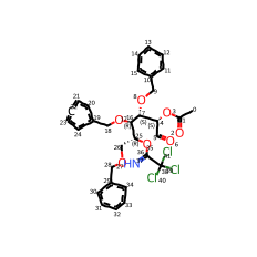 CC(=O)O[C@H](C=O)[C@@H](OCc1ccccc1)[C@H](OCc1ccccc1)[C@@H](COCc1ccccc1)OC(=N)C(Cl)(Cl)Cl